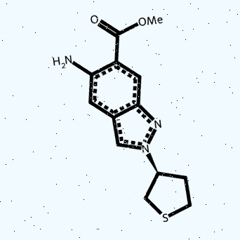 COC(=O)c1cc2nn([C@H]3CCSC3)cc2cc1N